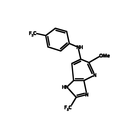 COc1nc2nc(C(F)(F)F)[nH]c2cc1Nc1ccc(C(F)(F)F)cc1